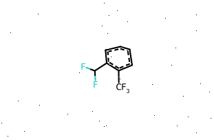 FC(F)c1ccccc1C(F)(F)F